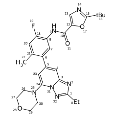 CCc1nc2cc(-c3cc(NC(=O)c4cnc(C(C)(C)C)o4)c(F)cc3C)cc(N3CCOCC3)n2n1